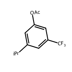 [CH2]C(C)c1cc(OC(C)=O)cc(C(F)(F)F)c1